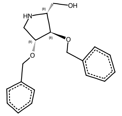 OC[C@H]1NC[C@@H](OCc2ccccc2)[C@@H]1OCc1ccccc1